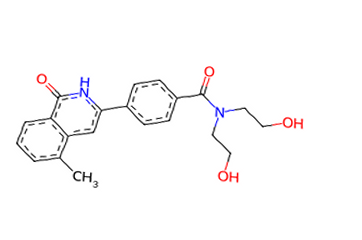 Cc1cccc2c(=O)[nH]c(-c3ccc(C(=O)N(CCO)CCO)cc3)cc12